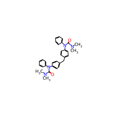 CN(C)C(=O)N(c1ccccc1)c1ccc(Cc2ccc(N(C(=O)N(C)C)c3ccccc3)cc2)cc1